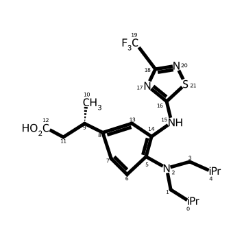 CC(C)CN(CC(C)C)c1ccc([C@@H](C)CC(=O)O)cc1Nc1nc(C(F)(F)F)ns1